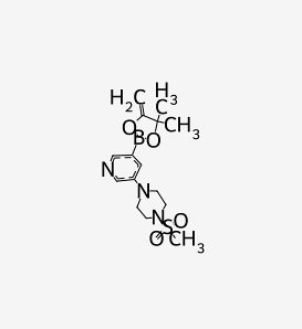 C=C1OB(c2cncc(N3CCN(S(C)(=O)=O)CC3)c2)OC1(C)C